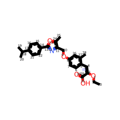 CCO/C(=C/c1ccc(OCc2nc(-c3ccc(C(C)C)cc3)oc2C)cc1C)C(=O)O